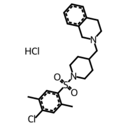 Cc1cc(S(=O)(=O)N2CCC(CN3CCc4ccccc4C3)CC2)c(C)cc1Cl.Cl